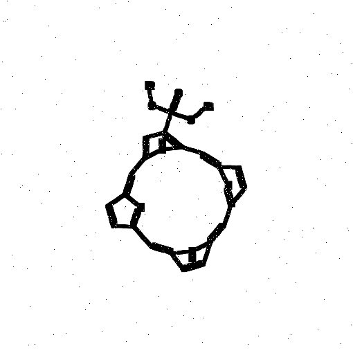 CCOP(=O)(OCC)c1cc2cc3nc(cc4ccc(cc5nc(cc1[nH]2)C=C5)[nH]4)C=C3